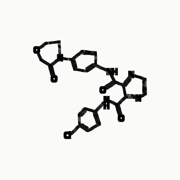 O=C(Nc1ccc(Cl)cc1)c1nccnc1C(=O)Nc1ccc(N2CCOCC2=O)cc1